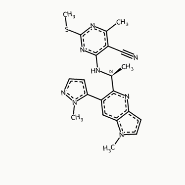 CSc1nc(C)c(C#N)c(N[C@@H](C)c2nc3ccn(C)c3cc2-c2ccnn2C)n1